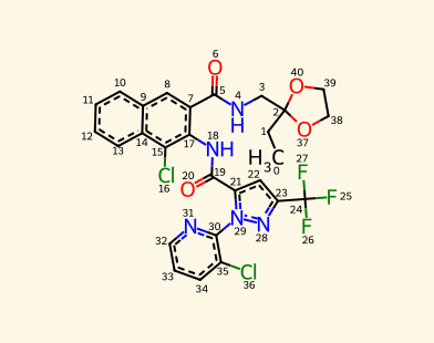 CCC1(CNC(=O)c2cc3ccccc3c(Cl)c2NC(=O)c2cc(C(F)(F)F)nn2-c2ncccc2Cl)OCCO1